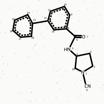 N#CN1CCC(NC(=O)c2cccc(-c3ccccc3)c2)C1